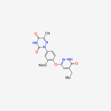 COc1cc(-n2nc(C#N)c(=O)[nH]c2=O)ccc1Oc1cc(CC(C)(C)C)c(=O)[nH]n1